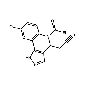 C#CCC1c2cn[nH]c2-c2cc(Cl)ccc2N1C(=O)CC